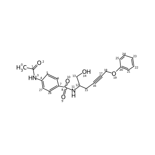 CC(=O)Nc1ccc(S(=O)(=O)NC(CO)CC#CCOc2ccccc2)cc1